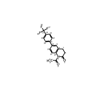 CC(=O)N1C(=O)CCc2cc(-c3ccc(C(F)(F)F)cc3)ccc21